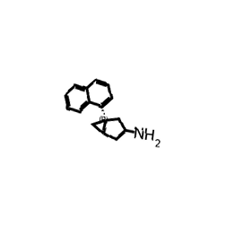 NC1CC2C[C@@]2(c2cccc3ccccc23)C1